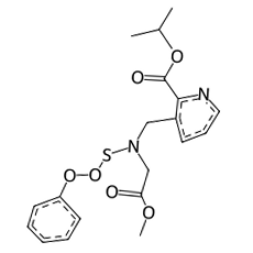 COC(=O)CN(Cc1cccnc1C(=O)OC(C)C)SOOc1ccccc1